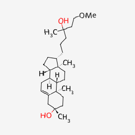 COCCC(C)(O)CCC[C@H]1CC[C@H]2[C@@H]3CC=C4C[C@@](C)(O)CC[C@]4(C)[C@H]3CC[C@]12C